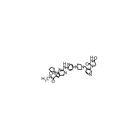 CN(C)C(=O)c1cc2cnc(Nc3ccc(N4CCN(Cc5ccncc5N5CCC(=O)NC5=O)CC4)cn3)nc2n1C1CCCC1